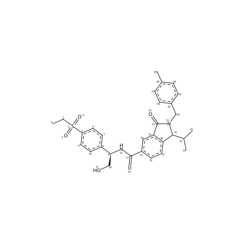 CCS(=O)(=O)c1ccc([C@H](CO)NC(=O)c2ccc3c(c2)C(=O)N(Cc2ccc(C)cc2)C3C(C)C)cc1